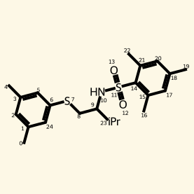 Cc1cc(C)cc(SCC(NS(=O)(=O)c2c(C)cc(C)cc2C)C(C)C)c1